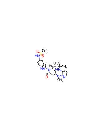 CN(c1ncccc1NC(C)(C)C)C1CCN(c2cc3cc(NS(C)(=O)=O)ccc3[nH]2)C(C=O)C1